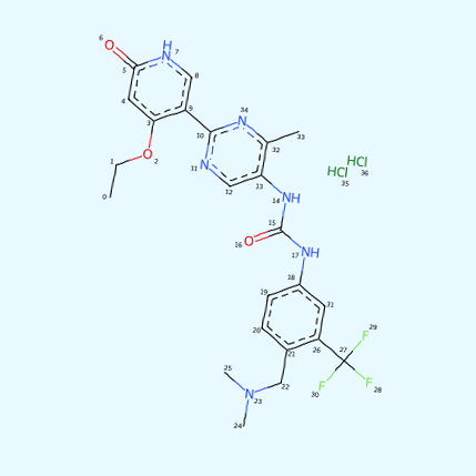 CCOc1cc(=O)[nH]cc1-c1ncc(NC(=O)Nc2ccc(CN(C)C)c(C(F)(F)F)c2)c(C)n1.Cl.Cl